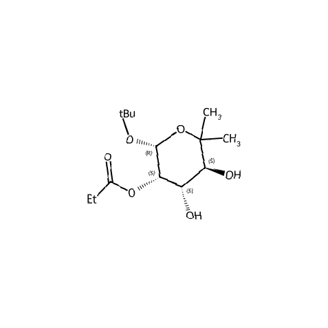 CCC(=O)O[C@@H]1[C@H](OC(C)(C)C)OC(C)(C)[C@@H](O)[C@@H]1O